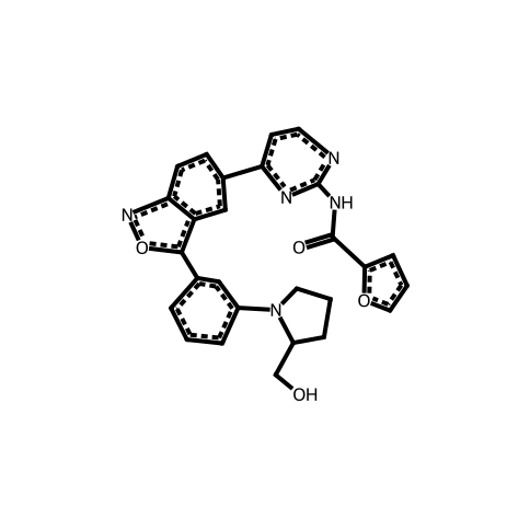 O=C(Nc1nccc(-c2ccc3noc(-c4cccc(N5CCCC5CO)c4)c3c2)n1)c1ccco1